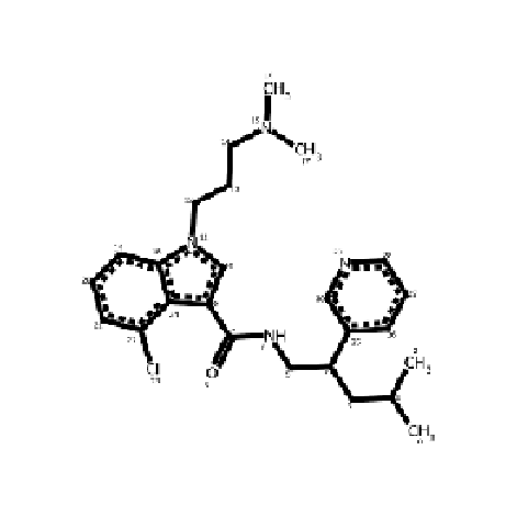 CC(C)CC(CNC(=O)c1cn(CCCN(C)C)c2cccc(Cl)c12)c1cccnc1